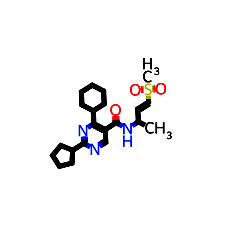 CC(C=CS(C)(=O)=O)NC(=O)c1cnc(C2CCCC2)nc1C1CCCCC1